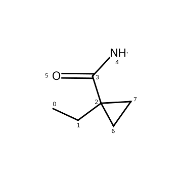 CCC1(C([NH])=O)CC1